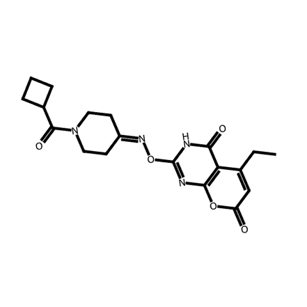 CCc1cc(=O)oc2nc(ON=C3CCN(C(=O)C4CCC4)CC3)[nH]c(=O)c12